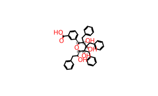 O=C(O)c1cccc([C@@H]2O[C@H](C(O)Cc3ccccc3)[C@](O)(Cc3ccccc3)[C@@](O)(Cc3ccccc3)[C@]2(O)Cc2ccccc2)c1